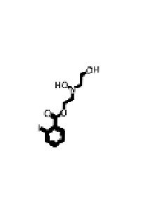 O=C(OCCN(O)CCO)c1ccccc1I